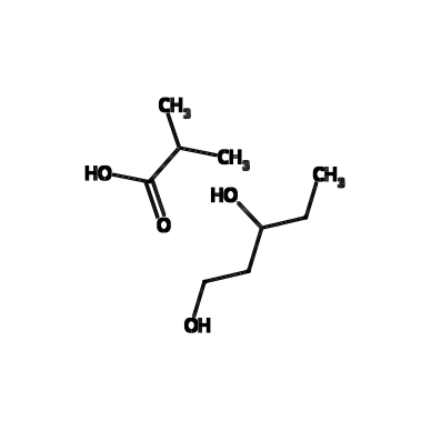 CC(C)C(=O)O.CCC(O)CCO